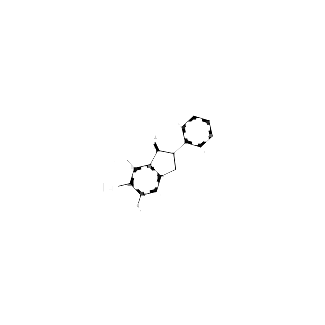 O=C1c2c(cc(O)c(Br)c2Br)CC1c1ccccc1